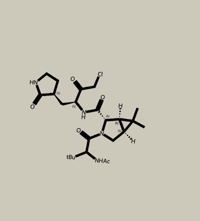 CC(=O)NC(C(=O)N1C[C@H]2[C@@H]([C@H]1C(=O)N[C@@H](C[C@@H]1CCNC1=O)C(=O)CCl)C2(C)C)C(C)(C)C